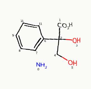 N.O=C(O)C(O)(CO)c1ccccc1